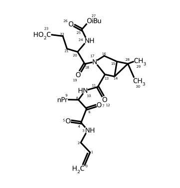 C=CCNC(=O)C(=O)C(CCC)NC(=O)C1C2C(CN1C(=O)C(CCC(=O)O)NC(=O)OCC(C)C)C2(C)C